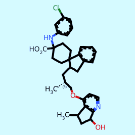 CC1CC(O)c2nccc(OC[C@H](C)CC3Cc4ccccc4C34CCC(Nc3cccc(Cl)c3)(C(=O)O)CC4)c21